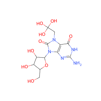 Nc1nc2c(c(=O)[nH]1)n(CC(O)(O)O)c(=O)n2C1OC(CO)C(O)C1O